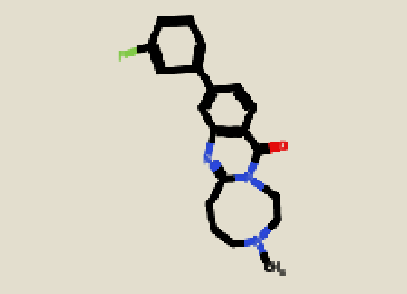 CN1CCCc2nc3cc(-c4cccc(F)c4)ccc3c(=O)n2CC1